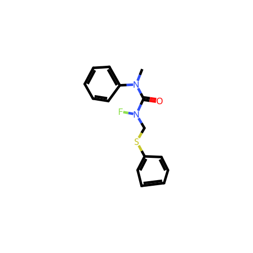 CN(C(=O)N(F)CSc1ccccc1)c1ccccc1